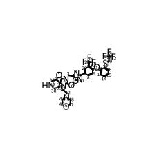 O=C1N(Cc2nc(-c3ccc(Oc4ccccc4SCC(F)(F)F)c(C(F)(F)F)c3)no2)C(=O)C2(CCNCC2)N1CCN1CCOCC1